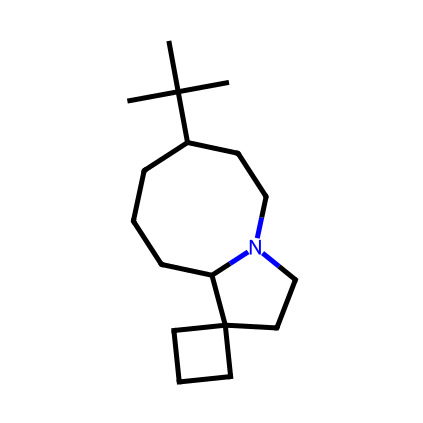 CC(C)(C)C1CCCC2N(CC1)CCC21CCC1